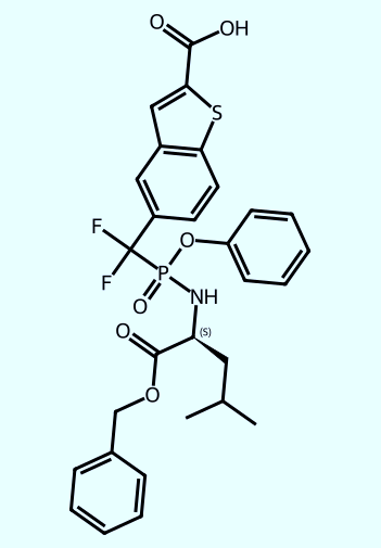 CC(C)C[C@H](NP(=O)(Oc1ccccc1)C(F)(F)c1ccc2sc(C(=O)O)cc2c1)C(=O)OCc1ccccc1